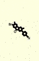 Cc1cc2c(cc1Br)C(=O)c1cc(-c3ccc(C#N)cc3)c(C)cc1-2